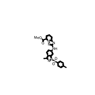 COC(=O)c1cccc2nc(Nc3ccc4c(C)nn(S(=O)(=O)c5ccc(C)cc5)c4c3)nn12